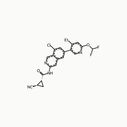 CCc1cc(OC(F)F)ncc1-c1cc(Cl)c2cnc(NC(=O)[C@@H]3C[C@H]3C#N)cc2c1